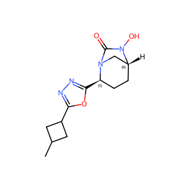 CC1CC(c2nnc([C@@H]3CC[C@@H]4CN3C(=O)N4O)o2)C1